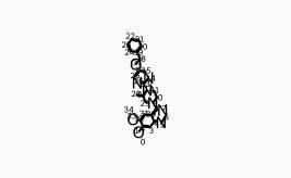 COc1cc2ncnc(N3CCN(c4ncc(OCc5ccccc5)cn4)C(C)C3)c2cc1OC